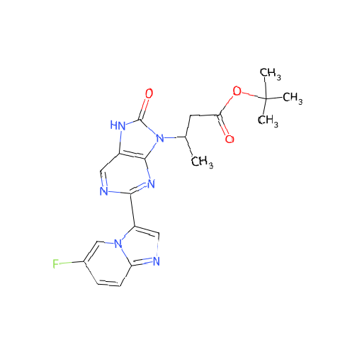 CC(CC(=O)OC(C)(C)C)n1c(=O)[nH]c2cnc(-c3cnc4ccc(F)cn34)nc21